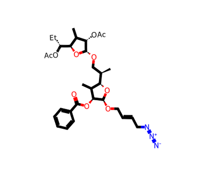 CC[C@@H](OC(C)=O)[C@@H]1O[C@@H](OC[C@@H](C)[C@@H]2O[C@@H](OC/C=C/CN=[N+]=[N-])[C@@H](OC(=O)c3ccccc3)C2C)[C@@H](OC(C)=O)C1C